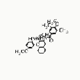 CCN(Nc1ccc(OC)cc1)C(=O)C(CC1CCCCC1)NC(=O)c1cc(C)c(OC)c(C)c1